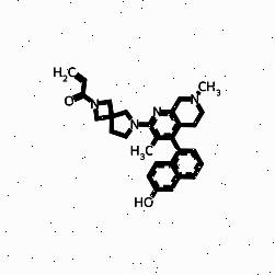 C=CC(=O)N1CC2(CCN(c3nc4c(c(-c5cccc6cc(O)ccc56)c3C)CCN(C)C4)C2)C1